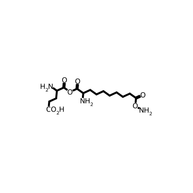 NOC(=O)CCCCCCCC(N)C(=O)OC(=O)C(N)CCC(=O)O